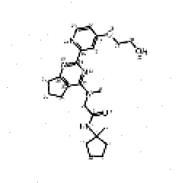 CN(CC(=O)NC1(C)CCCC1)c1nc(-c2cc(OCCO)ccn2)nc2c1CCC2